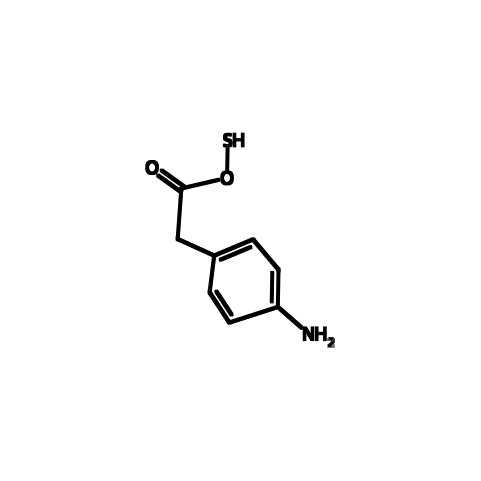 Nc1ccc(CC(=O)OS)cc1